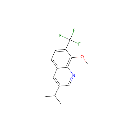 COc1c(C(F)(F)F)ccc2cc(C(C)C)cnc12